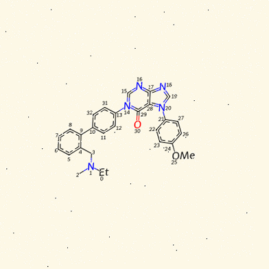 CCN(C)Cc1ccccc1-c1ccc(-n2cnc3ncn(-c4ccc(OC)cc4)c3c2=O)cc1